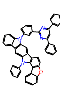 c1ccc(-c2cc(-c3ccccc3)nc(-c3cccc(-n4c5ccccc5c5cc6c(cc54)c4ccc5oc7ccccc7c5c4n6-c4ccccc4)c3)n2)cc1